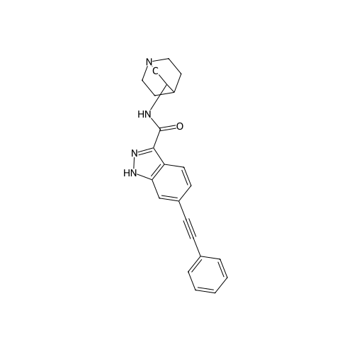 O=C(NC1CN2CCC1CC2)c1n[nH]c2cc(C#Cc3ccccc3)ccc12